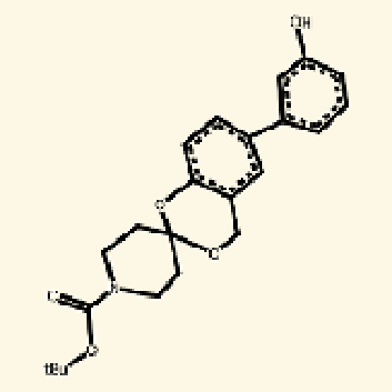 CC(C)(C)OC(=O)N1CCC2(CC1)OCc1cc(-c3cccc(O)c3)ccc1O2